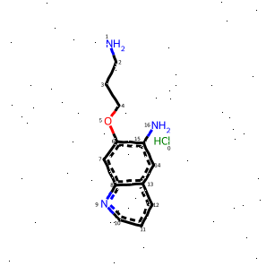 Cl.NCCCOc1cc2ncccc2cc1N